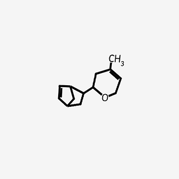 CC1=CCOC(C2CC3C=CC2C3)C1